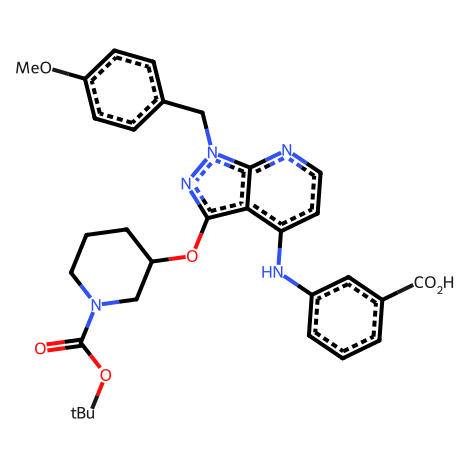 COc1ccc(Cn2nc(OC3CCCN(C(=O)OC(C)(C)C)C3)c3c(Nc4cccc(C(=O)O)c4)ccnc32)cc1